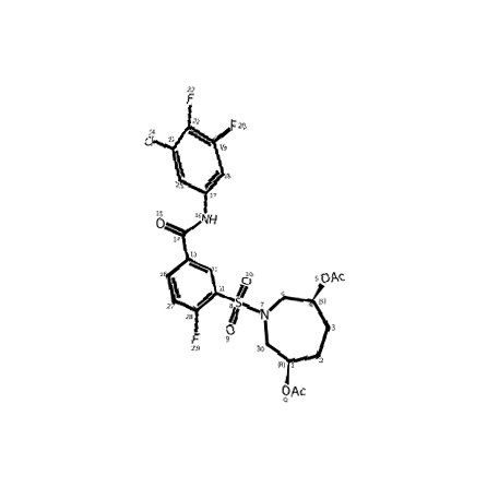 CC(=O)O[C@@H]1CC[C@H](OC(C)=O)CN(S(=O)(=O)c2cc(C(=O)Nc3cc(F)c(F)c(Cl)c3)ccc2F)C1